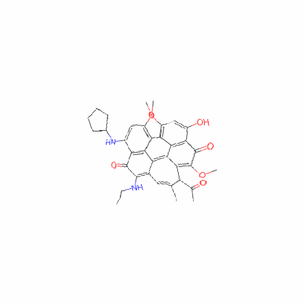 CCNc1c2c3c4c(c(OC)c(=O)c5c(O)cc(OC)c(c6c(OC)cc(NC7CCCC7)c(c1=O)c63)c54)C(C(C)=O)C(C)=C2